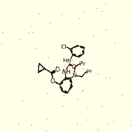 CC(C)CN(CC(C)C)c1cccc(OC(=O)C2CC2)c1NC(=O)Nc1ccccc1Cl